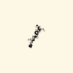 COC(C)C(Oc1ccc(OCCNCC(O)COc2cccs2)cc1)C(N)=O.Cl